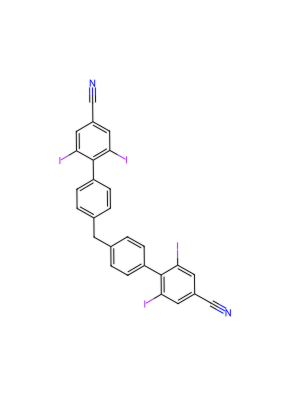 N#Cc1cc(I)c(-c2ccc(Cc3ccc(-c4c(I)cc(C#N)cc4I)cc3)cc2)c(I)c1